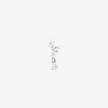 COC(=O)[C@]1(Oc2[nH]cc3c2COP(=O)(C2CC2C2SC(n4cnc5c(=S)oc(N)nc54)C(O)C2(C)O)OC3)C[C@H](O)[C@@H](NC(=O)C(NC(=O)[C@H](N)CCSC)C(C)C)[C@H]([C@H](O)[C@H](O)CO)O1